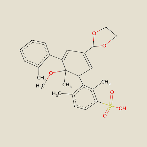 COC1(C)C(c2ccccc2C)=CC(C2OCCO2)=CC1c1c(C)ccc(S(=O)(=O)O)c1C